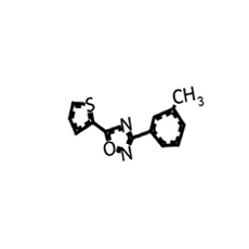 Cc1cccc(-c2noc(-c3cccs3)n2)c1